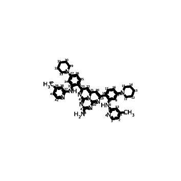 Cc1ccnc(Nc2cc(N3CCCCC3)ccc2C2=CC3=CC(c4ccc(N5CCCCC5)cc4Nc4cc(C)ccn4)=NC4=NC(N)=NC(=N2)N34)c1